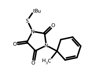 CC(C)(C)SN1C(=O)C(=O)N(C2(C)C=CC=CC2)C1=O